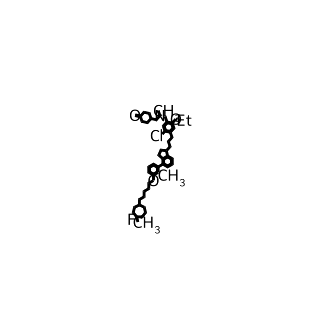 CCOc1cc(CCCC2CCc3c(-c4cccc(OCCCCCC5CCCC(C)(F)CC5)c4C)cccc32)c(Cl)cc1CN(C)CC1CCC(=O)CC1